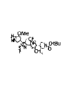 COc1cc(-c2c(CC(F)(F)F)c(-c3cc(C)c(C4=CCN(C(=O)OC(C)(C)C)CC4)cn3)nn2SF)cn2ncnc12